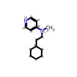 CN(CCC1CCCCC1)c1ccncc1